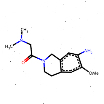 COc1cc2c(cc1N)CN(C(=O)CN(C)C)CC2